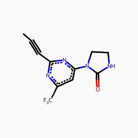 CC#Cc1nc(N2CCNC2=O)cc(C(F)(F)F)n1